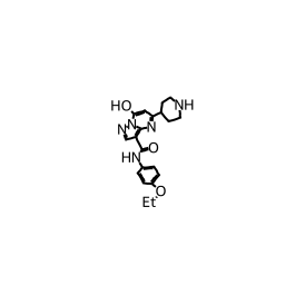 CCOc1ccc(NC(=O)c2cnn3c(O)cc(C4CCNCC4)nc23)cc1